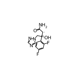 NC(=O)[CH][C@](O)(Cn1cncn1)c1ccc(F)cc1F